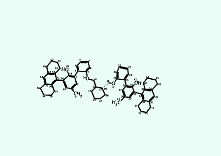 Cc1cc(-c2ccccc2OCC2CCCC[C@H]2COc2ccccc2-c2cc(C)cc(-c3c4c(cc5c3CCCC5)CCCC4)c2O)c(O)c(-c2c3c(cc4c2CCCC4)CCCC3)c1